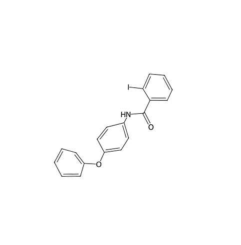 O=C(Nc1ccc(Oc2ccccc2)cc1)c1ccccc1I